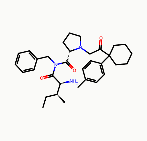 CC[C@H](C)[C@H](N)C(=O)N(Cc1ccccc1)C(=O)[C@@H]1CCCN1CC(=O)C1(c2ccc(C)cc2)CCCCC1